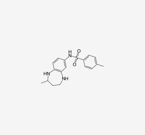 Cc1ccc(S(=O)(=O)Nc2ccc3c(c2)NCCC(C)N3)cc1